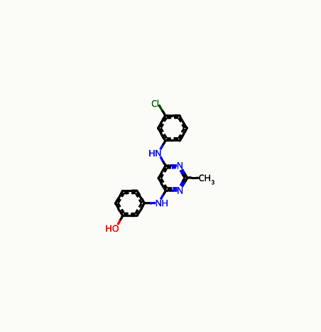 Cc1nc(Nc2cccc(O)c2)cc(Nc2cccc(Cl)c2)n1